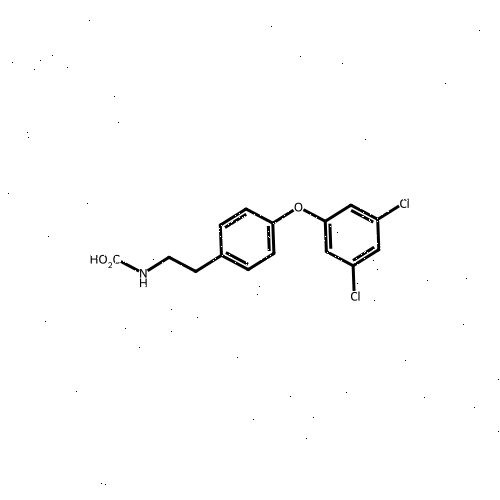 O=C(O)NCCc1ccc(Oc2cc(Cl)cc(Cl)c2)cc1